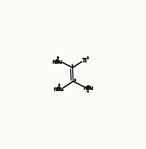 CCCC[C]([Ti])=C(CCCC)CCCC